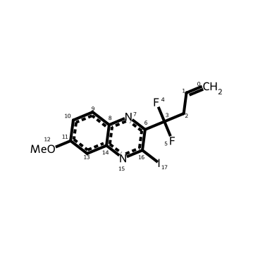 C=CCC(F)(F)c1nc2ccc(OC)cc2nc1I